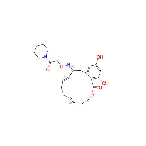 O=C1OCC/C=C/CC/C=C/C(=N\OCC(=O)N2CCCCC2)Cc2cc(O)cc(O)c21